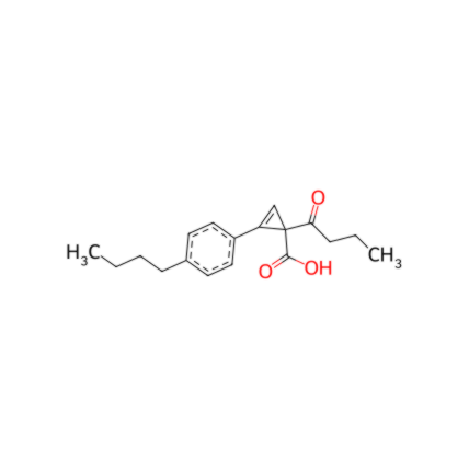 CCCCc1ccc(C2=CC2(C(=O)O)C(=O)CCC)cc1